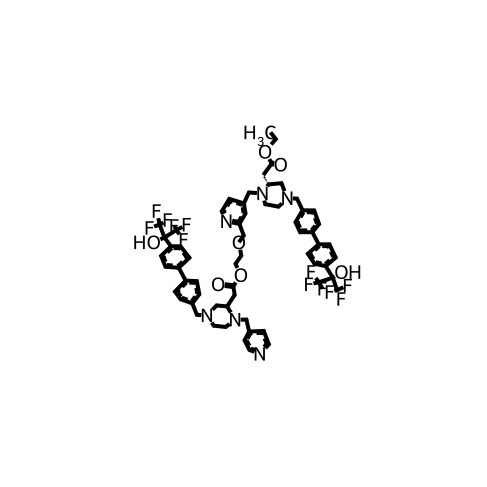 CCOC(=O)C[C@@H]1CN(Cc2ccc(-c3ccc(C(O)(C(F)(F)F)C(F)(F)F)cc3)cc2)CCN1Cc1ccnc(COCCOC(=O)CC2CN(Cc3ccc(-c4ccc(C(O)(C(F)(F)F)C(F)(F)F)cc4)cc3)CCN2Cc2ccncc2)c1